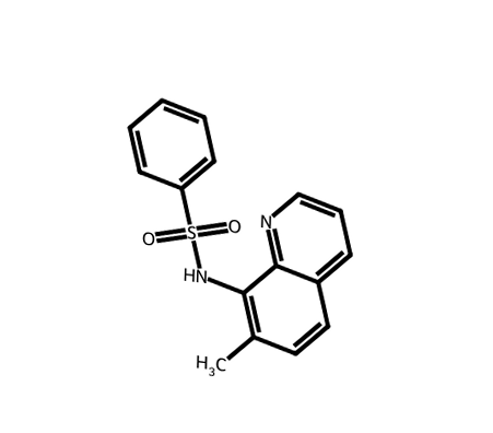 Cc1ccc2cccnc2c1NS(=O)(=O)c1ccccc1